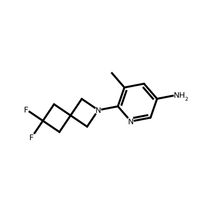 Cc1cc(N)cnc1N1CC2(C1)CC(F)(F)C2